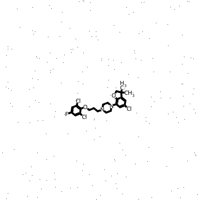 CC1(C)COc2c(N3CCN(CCCOc4c(Cl)cc(F)cc4Cl)CC3)cc(Cl)cc21